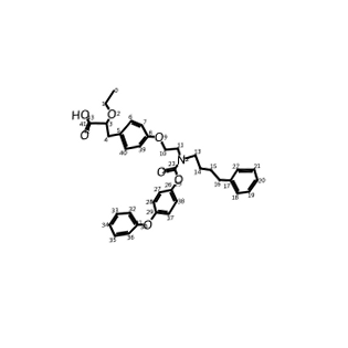 CCOC(Cc1ccc(OCCN(CCCCc2ccccc2)C(=O)Oc2ccc(Oc3ccccc3)cc2)cc1)C(=O)O